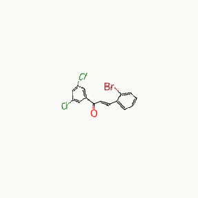 O=C(C=Cc1ccccc1Br)c1cc(Cl)cc(Cl)c1